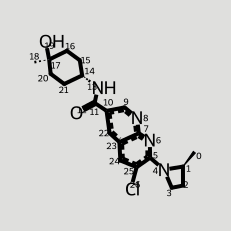 C[C@H]1CCN1c1nc2ncc(C(=O)N[C@H]3CC[C@](C)(O)CC3)cc2cc1Cl